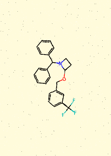 FC(F)(F)c1cccc(COC2CCN2C(c2ccccc2)c2ccccc2)c1